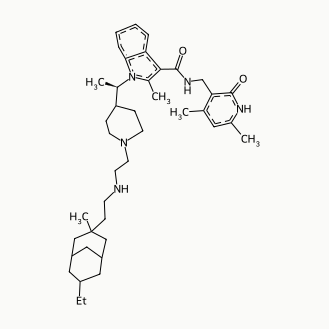 CCC1CC2CC(C1)CC(C)(CCNCCN1CCC([C@@H](C)n3c(C)c(C(=O)NCc4c(C)cc(C)[nH]c4=O)c4ccccc43)CC1)C2